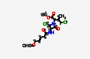 C=C(CCl)C(C(=O)OC(C)(C)C)N1C(=O)C(NC(=O)CC=CCOC=O)C1Cl